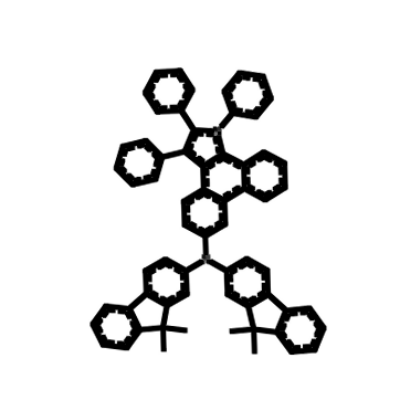 CC1(C)c2ccccc2-c2ccc(N(c3ccc4c(c3)C(C)(C)c3ccccc3-4)c3ccc4c(c3)c3ccccc3c3c4c(-c4ccccc4)c(-c4ccccc4)n3-c3ccccc3)cc21